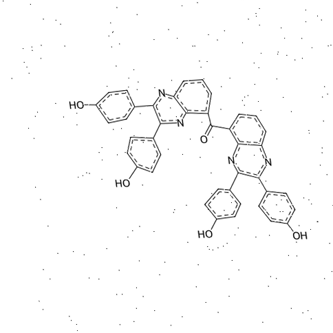 O=C(c1cccc2nc(-c3ccc(O)cc3)c(-c3ccc(O)cc3)nc12)c1cccc2nc(-c3ccc(O)cc3)c(-c3ccc(O)cc3)nc12